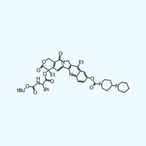 CCc1c2c(nc3ccc(OC(=O)N4CCC(N5CCCCC5)CC4)cc13)-c1cc3c(c(=O)n1C2)COC(=O)[C@@]3(CC)OC(=O)C(NC(=O)OC(C)(C)C)C(C)C